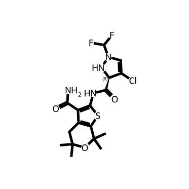 CC1(C)Cc2c(sc(NC(=O)[C@H]3NN(C(F)F)C=C3Cl)c2C(N)=O)C(C)(C)O1